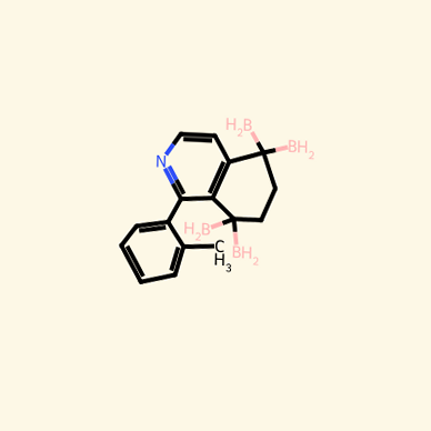 BC1(B)CCC(B)(B)c2c1ccnc2-c1ccccc1C